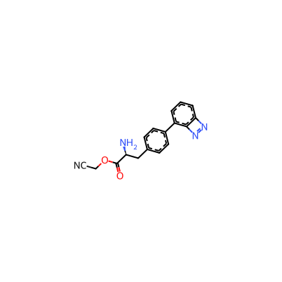 N#CCOC(=O)[C@@H](N)Cc1ccc(-c2cccc3c2N=N3)cc1